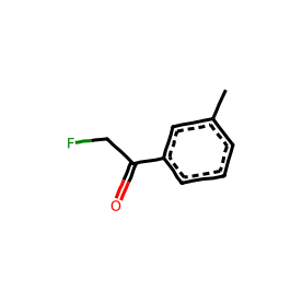 Cc1cccc(C(=O)CF)c1